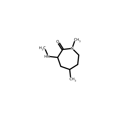 CNC1CC(C)CCN(C)C1=O